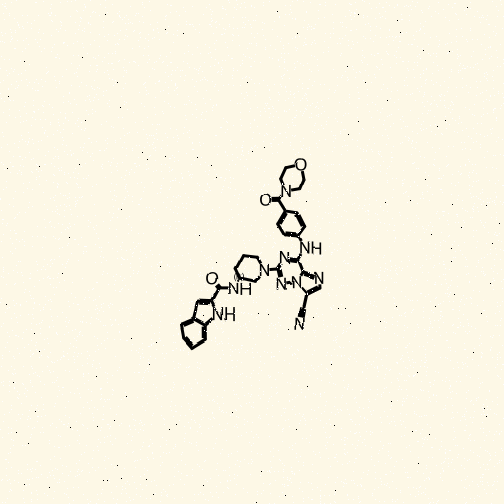 N#Cc1cnc2c(Nc3ccc(C(=O)N4CCOCC4)cc3)nc(N3CCC[C@@H](NC(=O)c4cc5ccccc5[nH]4)C3)nn12